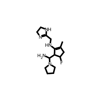 CC1=C(NCC2=NCCN2)C(C(N)N2CCCC2)C(F)C1